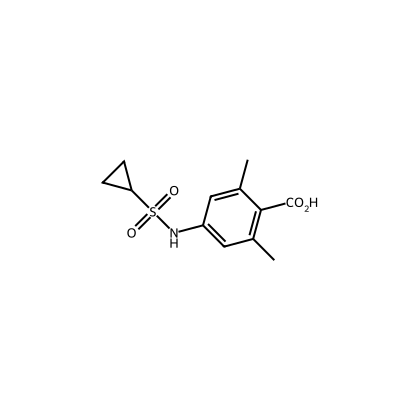 Cc1cc(NS(=O)(=O)C2CC2)cc(C)c1C(=O)O